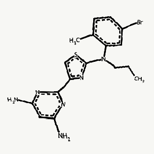 CCCN(c1nc(-c2nc(N)cc(N)n2)cs1)c1cc(Br)ccc1C